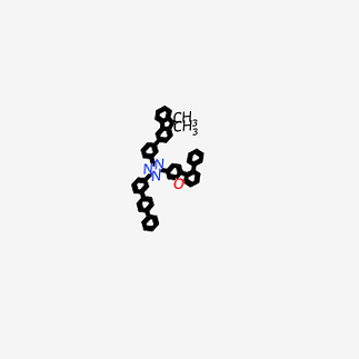 CC1(C)c2ccccc2-c2cc(-c3cccc(-c4nc(-c5cccc(-c6ccc(-c7ccccc7)cc6)c5)nc(-c5ccc6c(c5)oc5cccc(-c7ccccc7)c56)n4)c3)ccc21